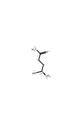 CC(=O)CC[C@@H](C)O